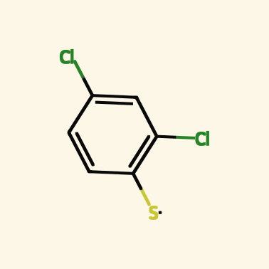 [S]c1ccc(Cl)cc1Cl